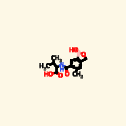 Cc1cc2c(cc1C(=O)NC(C(=O)O)C(C)C)B(O)OC2